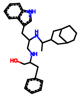 CC(NC(CNC(CO)Cc1ccccc1)Cc1c[nH]c2ccccc12)C1CC2CCCC(C2)C1